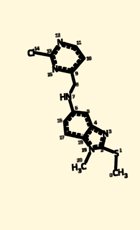 CSc1nc2cc(NCc3ccnc(Cl)n3)ccc2n1C